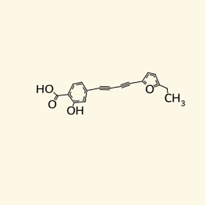 CCc1ccc(C#CC#Cc2ccc(C(=O)O)c(O)c2)o1